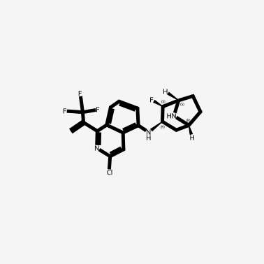 C=C(c1nc(Cl)cc2c(N[C@@H]3C[C@H]4CC[C@H](N4)[C@@H]3F)cccc12)C(F)(F)F